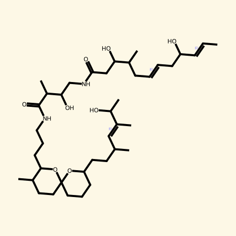 C/C=C/C(O)C/C=C/CC(C)C(O)CC(=O)NCC(O)C(C)C(=O)NCCCC1OC2(CCCC(CCC(C)/C=C(\C)C(C)O)O2)CCC1C